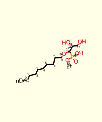 CCCCCCCCCCCCCCCCCCOC([C@@H](O)CO)P(=O)(O)OCC